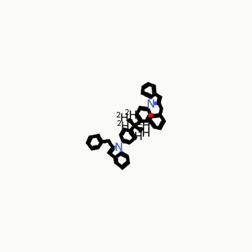 [2H]C([2H])([2H])C(c1ccc(-n2c(Cc3ccccc3)cc3ccccc32)cc1)(c1ccc(-n2c(Cc3ccccc3)cc3ccccc32)cc1)C([2H])([2H])[2H]